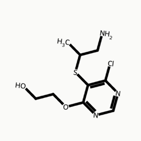 CC(CN)Sc1c(Cl)ncnc1OCCO